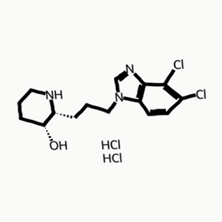 Cl.Cl.O[C@@H]1CCCN[C@@H]1CCCn1cnc2c(Cl)c(Cl)ccc21